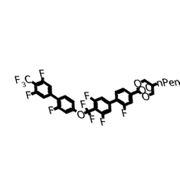 CCCCCC12COC(c3ccc(-c4cc(F)c(C(F)(F)Oc5ccc(-c6cc(F)c(C(F)(F)F)c(F)c6)c(F)c5)c(F)c4)c(F)c3)(OC1)OC2